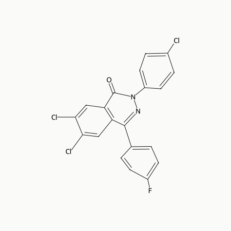 O=c1c2cc(Cl)c(Cl)cc2c(-c2ccc(F)cc2)nn1-c1ccc(Cl)cc1